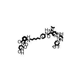 CO[C@H]1CCN(c2nccc(Nc3cc4c(cn3)c(C(=O)NC3CCN(CCCCCCNc5cccc6c5C(=O)N(C5CCC(=O)NC5=O)C6=O)CC3)nn4C(C)C)n2)C[C@H]1F